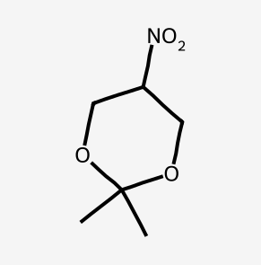 CC1(C)OCC([N+](=O)[O-])CO1